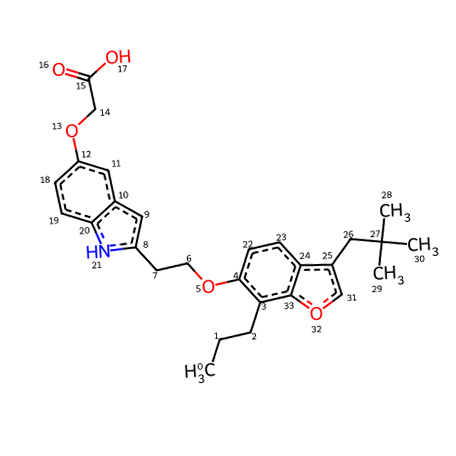 CCCc1c(OCCc2cc3cc(OCC(=O)O)ccc3[nH]2)ccc2c(CC(C)(C)C)coc12